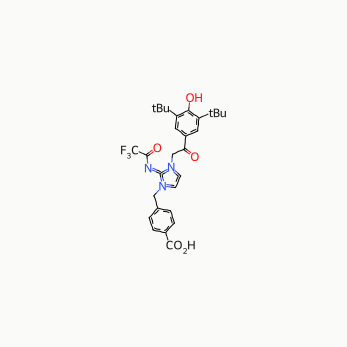 CC(C)(C)c1cc(C(=O)Cn2ccn(Cc3ccc(C(=O)O)cc3)/c2=N/C(=O)C(F)(F)F)cc(C(C)(C)C)c1O